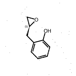 Oc1ccccc1C[C@H]1CO1